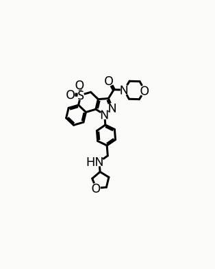 O=C(c1nn(-c2ccc(CNC3CCOC3)cc2)c2c1CS(=O)(=O)c1ccccc1-2)N1CCOCC1